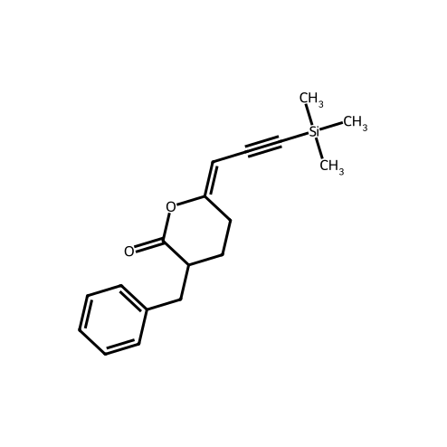 C[Si](C)(C)C#C/C=C1\CCC(Cc2ccccc2)C(=O)O1